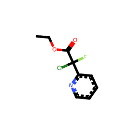 CCOC(=O)C(F)(Cl)c1ccccn1